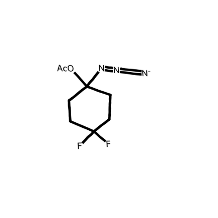 CC(=O)OC1(N=[N+]=[N-])CCC(F)(F)CC1